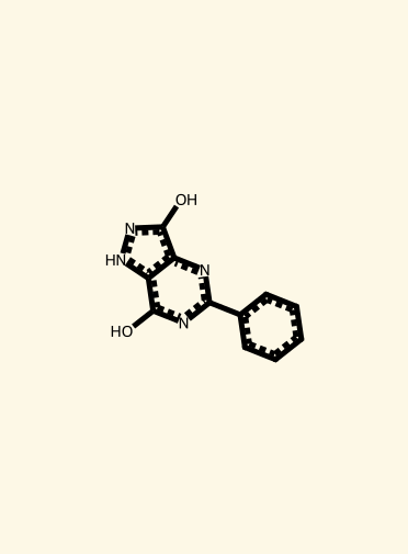 Oc1n[nH]c2c(O)nc(-c3ccccc3)nc12